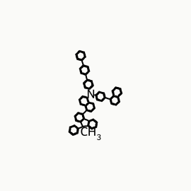 CC1(c2ccccc2)c2ccccc2-c2c(-c3cccc4c(N(c5ccc(-c6ccc(-c7ccccc7)cc6)cc5)c5ccc(-c6cccc7ccccc67)cc5)cccc34)cccc21